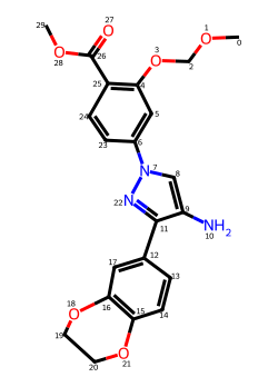 COCOc1cc(-n2cc(N)c(-c3ccc4c(c3)OCCO4)n2)ccc1C(=O)OC